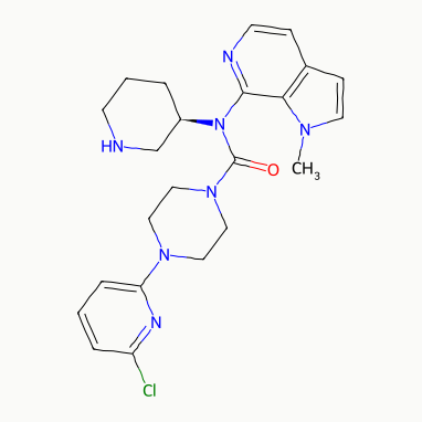 Cn1ccc2ccnc(N(C(=O)N3CCN(c4cccc(Cl)n4)CC3)[C@@H]3CCCNC3)c21